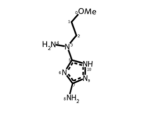 COCCN(N)c1nc(N)n[nH]1